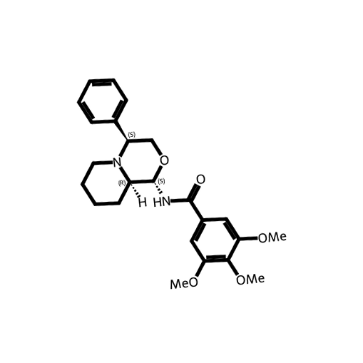 COc1cc(C(=O)N[C@H]2OC[C@H](c3ccccc3)N3CCCC[C@H]23)cc(OC)c1OC